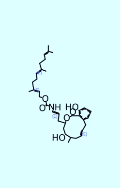 CC(C)=CCC/C(C)=C/CC/C(C)=C/COC(=O)N/C=C/CC1CC(O)C(C)C/C=C/Cc2cccc(O)c2C(=O)O1